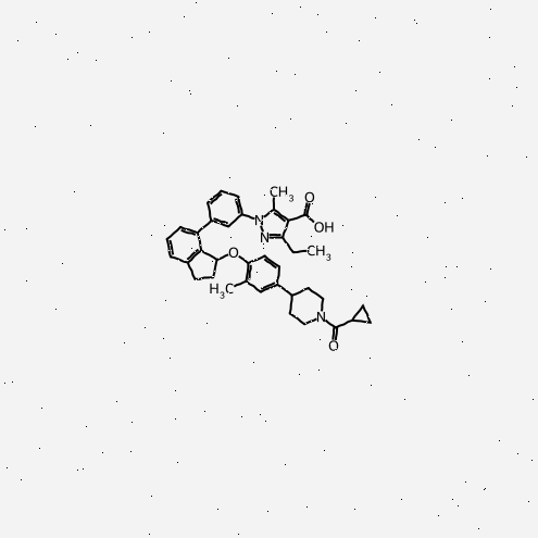 CCc1nn(-c2cccc(-c3cccc4c3C(Oc3ccc(C5CCN(C(=O)C6CC6)CC5)cc3C)CC4)c2)c(C)c1C(=O)O